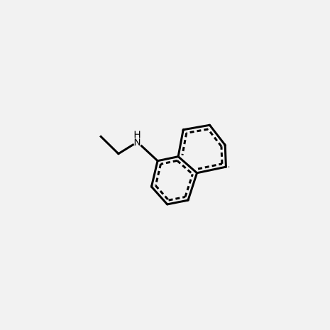 CCNc1cccc2[c]cccc12